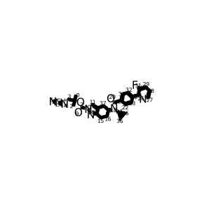 CC(C)(CN=[N+]=[N-])OC(=O)n1cc2c(n1)CCC(N(C(=O)c1ccc(-c3ncccc3F)cc1)C1CC1)C2